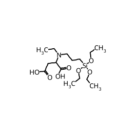 CCO[Si](CCCN(CC)C(CC(=O)O)C(=O)O)(OCC)OCC